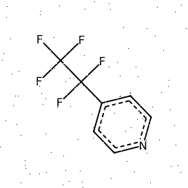 FC(F)(F)C(F)(F)c1[c]cncc1